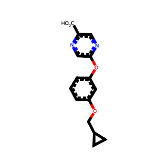 O=C(O)c1cnc(Oc2cccc(OCC3CC3)c2)cn1